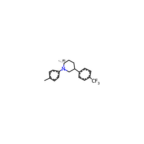 Cc1ccc(N2CC(c3ccc(C(F)(F)F)cc3)CC[C@H]2C)cc1